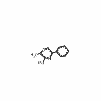 Cc1ncc(-c2ccccc2)nc1C(C)(C)C